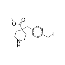 COC(=O)C1(Cc2ccc(CI)cc2)CCNCC1